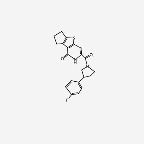 O=C(c1nc2sc3c(c2c(=O)[nH]1)CCC3)N1CCC(c2ccc(F)cc2)C1